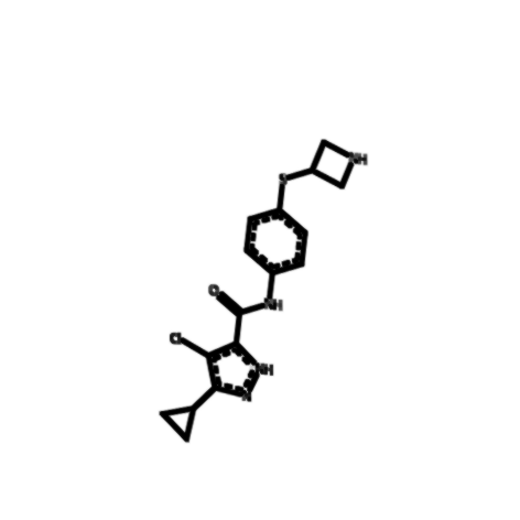 O=C(Nc1ccc(SC2CNC2)cc1)c1[nH]nc(C2CC2)c1Cl